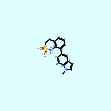 Cn1ccc2cc(-c3cccc4c3NS(=O)(=O)CC4)ccc21